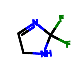 FC1(F)N=CCN1